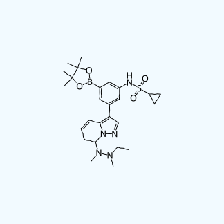 CCN(C)N(C)C1CC=Cc2c(-c3cc(NS(=O)(=O)C4CC4)cc(B4OC(C)(C)C(C)(C)O4)c3)cnn21